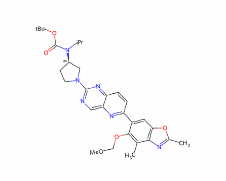 COCOc1c(-c2ccc3nc(N4CC[C@@H](N(C(=O)OC(C)(C)C)C(C)C)C4)ncc3n2)cc2oc(C)nc2c1C